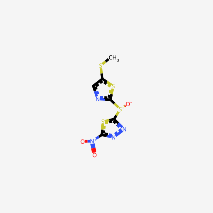 CSc1cnc([S+]([O-])c2nnc([N+](=O)[O-])s2)s1